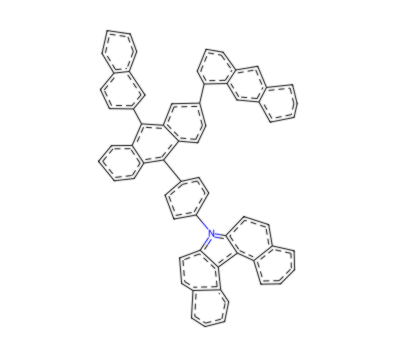 c1ccc2cc(-c3c4ccccc4c(-c4ccc(-n5c6ccc7ccccc7c6c6c7ccccc7ccc65)cc4)c4ccc(-c5cccc6cc7ccccc7cc56)cc34)ccc2c1